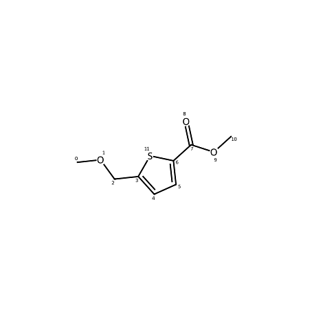 COCc1ccc(C(=O)OC)s1